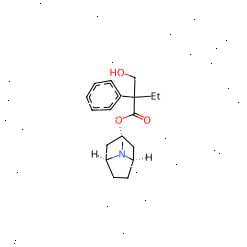 CCC(CO)(C(=O)O[C@@H]1C[C@H]2CC[C@@H](C1)N2C)c1ccccc1